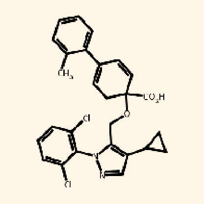 Cc1ccccc1C1=CCC(OCc2c(C3CC3)cnn2-c2c(Cl)cccc2Cl)(C(=O)O)C=C1